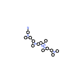 N#Cc1ccc(-n2c3ccccc3c3cc(-c4ccc5c(c4)c4ccccc4n5-c4ccc5c(ccc6c(-c7ccccc7)nc(-n7c8ccccc8c8cc(-c9ccc%10c(c9)c9ccccc9n%10-c9ccccc9)ccc87)nc65)c4)ccc32)cc1